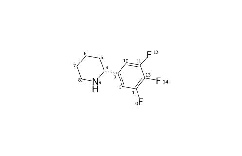 Fc1cc([C@H]2CCC[CH]N2)cc(F)c1F